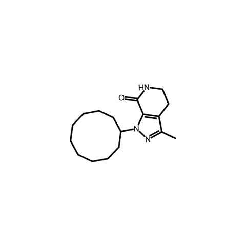 Cc1nn(C2CCCCCCCCC2)c2c1CCNC2=O